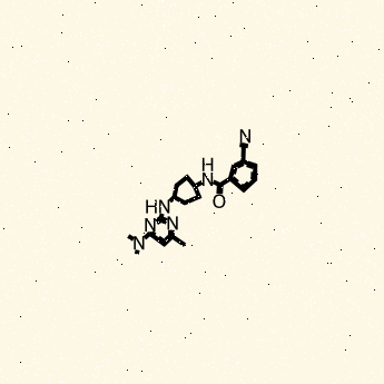 Cc1cc(N(C)C)nc(NC2CCC(NC(=O)c3cccc(C#N)c3)CC2)n1